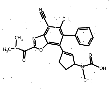 Cc1c(-c2ccccc2)c(C2=CC(N(C)C(=O)O)CC2)c2oc(C(=O)N(C)C)nc2c1C#N